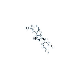 C=C/C=C1\C(=C/C)Cc2c(NC(/C=C\C)=C/C)n[nH]c21